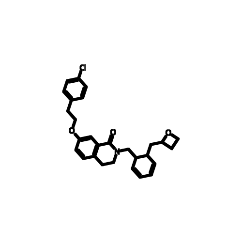 O=C1c2cc(OCCc3ccc(Cl)cc3)ccc2CCN1CC1C=CC=CC1CC1CCO1